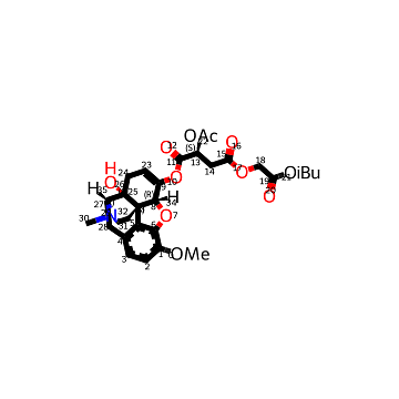 COc1ccc2c3c1O[C@H]1C(OC(=O)[C@H](CC(=O)OCC(=O)OCC(C)C)OC(C)=O)=CC[C@@]4(O)[C@@H](C2)N(C)CC[C@]314